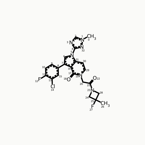 Cn1cnc(-n2cc(-c3ccc(F)c(Cl)c3)c3c(=O)n(CC(=O)N4CC(C)(F)C4)ccc32)n1